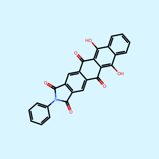 O=c1c2cc3c(=O)n(-c4ccccc4)c(=O)c3cc2c(=O)c2c(O)c3ccccc3c(O)c12